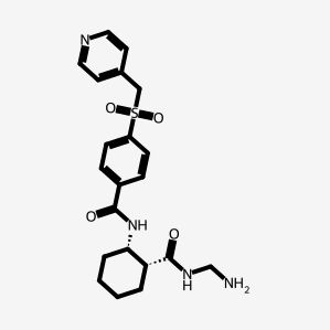 NCNC(=O)[C@@H]1CCCC[C@@H]1NC(=O)c1ccc(S(=O)(=O)Cc2ccncc2)cc1